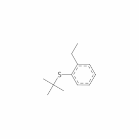 CCc1ccccc1SC(C)(C)C